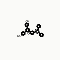 N#Cc1ccc(-c2cc(-c3ccc(C#N)cc3)c3oc4ccc(-c5nc(-c6ccccc6)nc(-c6ccccc6)n5)cc4c3c2)cc1